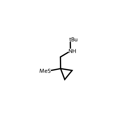 CSC1(CNC(C)(C)C)CC1